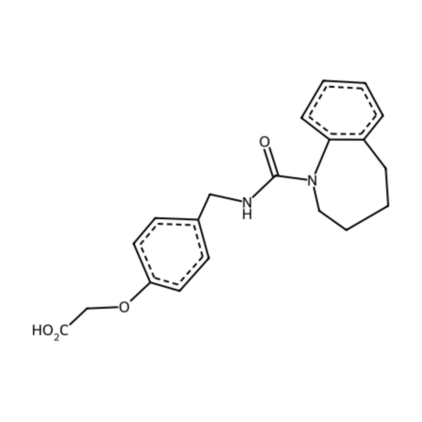 O=C(O)COc1ccc(CNC(=O)N2CCCCc3ccccc32)cc1